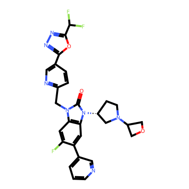 O=c1n(Cc2ccc(-c3nnc(C(F)F)o3)cn2)c2cc(F)c(-c3cccnc3)cc2n1[C@@H]1CCN(C2COC2)C1